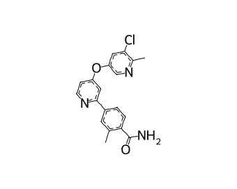 Cc1cc(-c2cc(Oc3cnc(C)c(Cl)c3)ccn2)ccc1C(N)=O